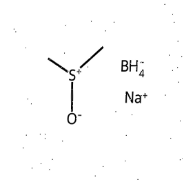 C[S+](C)[O-].[BH4-].[Na+]